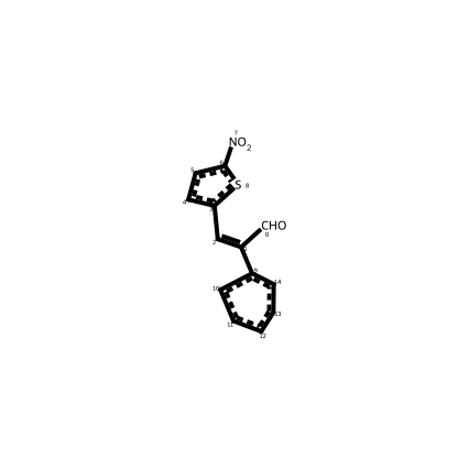 O=CC(=Cc1ccc([N+](=O)[O-])s1)c1ccccc1